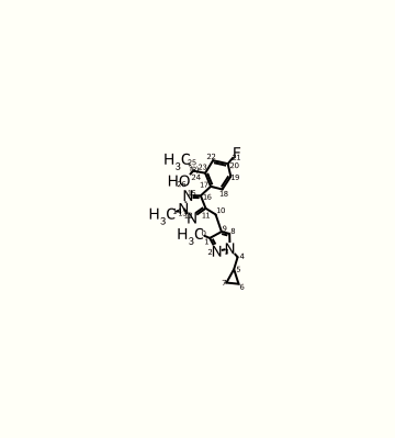 Cc1nn(CC2CC2)cc1Cc1nn(C)nc1-c1ccc(F)cc1[C@@H](C)O